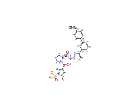 Cc1cc(C(=O)N2CCC[C@H]2C(=O)Nc2nc(-c3cccc(-c4ccc(C=O)cc4)c3)cs2)cn1S(C)(=O)=O